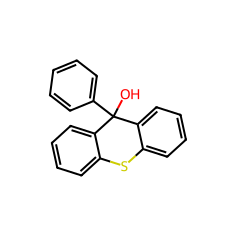 OC1(c2ccccc2)c2ccccc2Sc2ccccc21